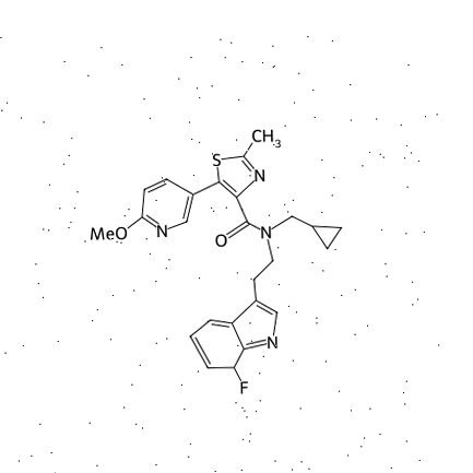 COc1ccc(-c2sc(C)nc2C(=O)N(CCC2=CN=C3C2=CC=CC3F)CC2CC2)cn1